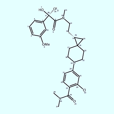 COc1cccc([C@@](O)(C(=O)N(C)CC[C@@H]2CC23CCN(c2ccc(C(=O)N(C)C)c(Cl)c2)CC3)C(F)(F)F)c1